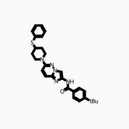 CC(C)(C)c1ccc(C(=O)Nc2cn3nc(N4CCC(Sc5ccccc5)CC4)ccc3n2)cc1